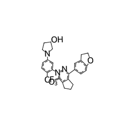 O=c1c2c(c(-c3ccc4c(c3)CCO4)nn1-c1cc(N3CCC(O)C3)ccc1C(F)(F)F)CCC2